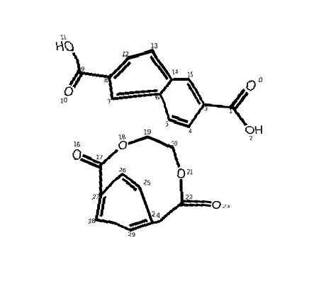 O=C(O)c1ccc2cc(C(=O)O)ccc2c1.O=C1OCCOC(=O)c2ccc1cc2